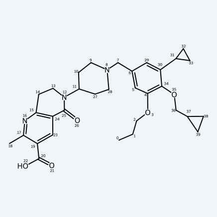 CCCOc1cc(CN2CCC(N3CCc4nc(C)c(C(=O)O)cc4C3=O)CC2)cc(C2CC2)c1OCC1CC1